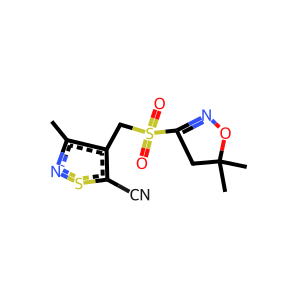 Cc1nsc(C#N)c1CS(=O)(=O)C1=NOC(C)(C)C1